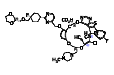 C#C/C1=C(Cl)\C(C)=C(/CC)c2c(-c3ccc(F)cc3)sc3ncnc(c23)O[C@@H](C(=O)O)Cc2cc(ccc2OCc2ccnc([C@H]3CC[C@](F)(COC[C@H]4COCCO4)CC3)n2)OC[C@@H](CN2CCN(C)CC2)O1